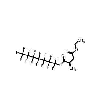 C=C(CC(=O)OCC)C(=O)OC(F)(F)C(F)(F)C(F)(F)C(F)(F)C(F)(F)C(F)(F)C(F)(F)F